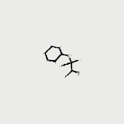 FC(Br)C(F)(F)OC1C[CH]CCC1